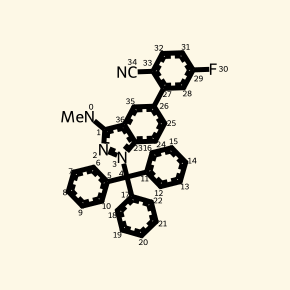 CNc1nn(C(c2ccccc2)(c2ccccc2)c2ccccc2)c2ccc(-c3cc(F)ccc3C#N)cc12